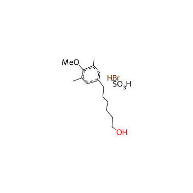 Br.COc1c(C)cc(CCCCCCO)cc1C.CS(=O)(=O)O